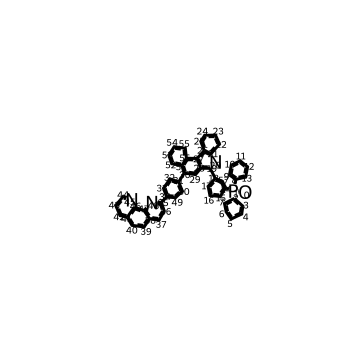 O=P(c1ccccc1)(c1ccccc1)c1cccc(-c2nc3ccccc3c3c2cc(-c2ccc(-c4ccc5ccc6cccnc6c5n4)cc2)c2ccccc23)c1